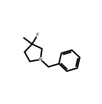 CC1(F)CCN(Cc2ccccc2)C1